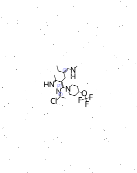 CC/C(=C/NC)C/C(C(C)=N)=C(/N=C(\C)Cl)N1CCC(OC(F)(F)F)CC1